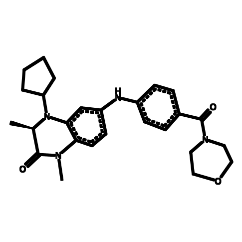 C[C@@H]1C(=O)N(C)c2ccc(Nc3ccc(C(=O)N4CCOCC4)cc3)cc2N1C1CCCC1